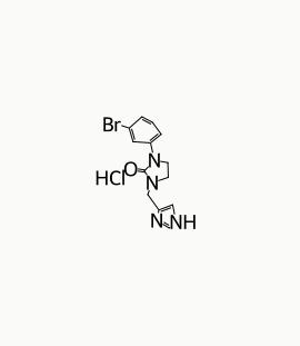 Cl.O=C1N(Cc2c[nH]cn2)CCN1c1cccc(Br)c1